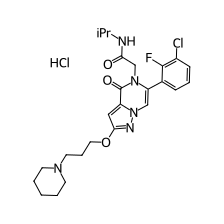 CC(C)NC(=O)Cn1c(-c2cccc(Cl)c2F)cn2nc(OCCCN3CCCCC3)cc2c1=O.Cl